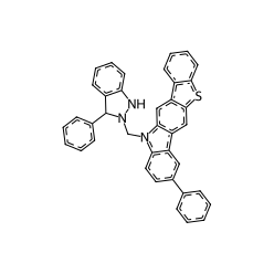 c1ccc(-c2ccc3c(c2)c2cc4sc5ccccc5c4cc2n3CN2Nc3ccccc3C2c2ccccc2)cc1